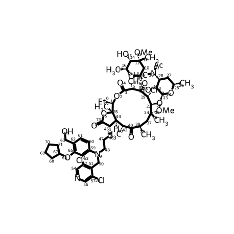 CC[C@H]1OC(=O)[C@H](C)[C@@H](O[C@H]2C[C@@](C)(OC)[C@@H](O)[C@H](C)O2)[C@H](C)[C@@H](O[C@@H]2O[C@H](C)C[C@H](N(C)C(C)=O)[C@H]2O)[C@](C)(OC)C[C@@H](C)C(=O)[C@H](C)[C@H]2[C@H](SCCN(Cc3c(Cl)cncc3Cl)c3ccc(CO)c(OC4CCCC4)c3)C(=O)O[C@@]21C